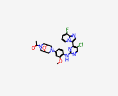 COc1cc(N2CC3CN(C(C)=O)CC(C2)O3)ccc1Nc1ncc(Cl)c(-c2cnc3c(F)cccn23)n1